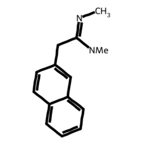 C/N=C(/Cc1ccc2ccccc2c1)NC